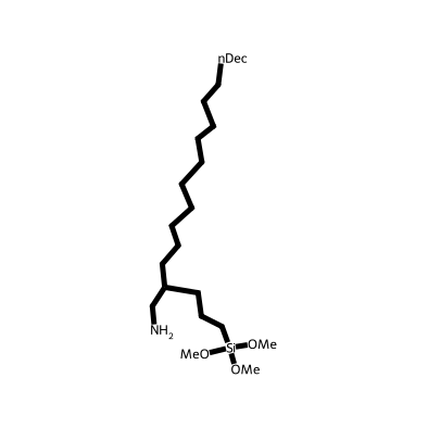 CCCCCCCCCCCCCCCCCCCCC(CN)CCC[Si](OC)(OC)OC